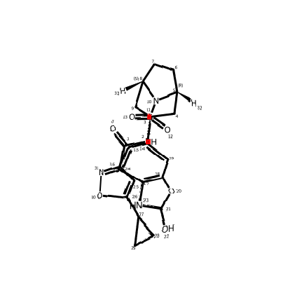 O=C(N[C@H]1C[C@H]2CC[C@@H](C1)N2S(=O)(=O)c1ccc2c(c1)OC(O)N2)c1cc(C2CC2)on1